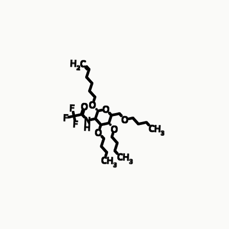 C=CCCCCO[C@@H]1OC(COCCCC)[C@H](OCCCC)C(OCCCC)C1NC(=O)C(F)(F)F